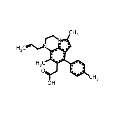 C=CCN1CCn2c(C)cc3c(-c4ccc(C)cc4)c(CC(=O)O)c(C)c1c32